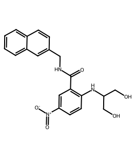 O=C(NCc1ccc2ccccc2c1)c1cc([N+](=O)[O-])ccc1NC(CO)CO